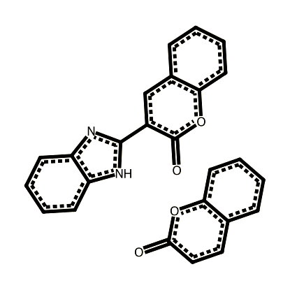 O=c1ccc2ccccc2o1.O=c1oc2ccccc2cc1-c1nc2ccccc2[nH]1